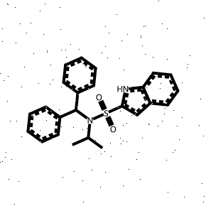 CC(C)N(C(c1ccccc1)c1ccccc1)S(=O)(=O)c1cc2ccccc2[nH]1